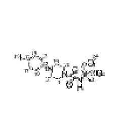 CC[C@@](C)(NS(=O)(=O)N1CCN(c2ccc(I)cc2)CC1)C(=O)OC